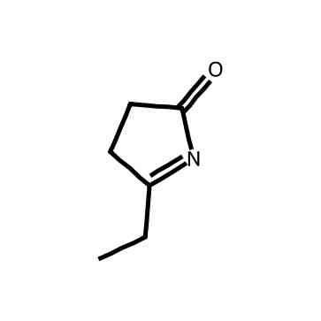 CCC1=NC(=O)CC1